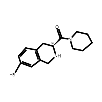 O=C([C@@H]1Cc2ccc(S)cc2CN1)N1CCCCC1